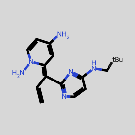 C=C/C(=C1/C=C(N)C=CN1N)c1nccc(NCC(C)(C)C)n1